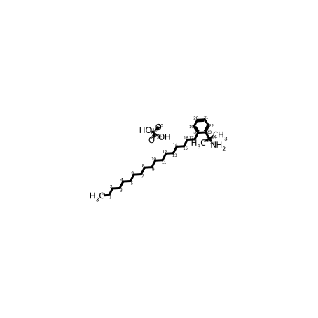 CCCCCCCCCCCCCCCCCCc1ccccc1C(C)(C)N.O=S(=O)(O)O